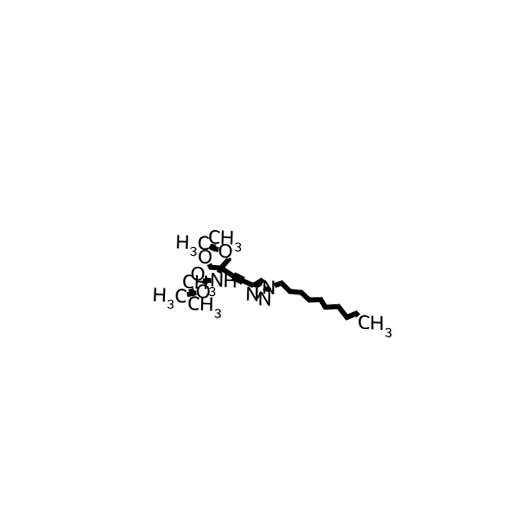 CCCCCCCCCCn1cc(C#CC2(NC(=O)OC(C)(C)C)COC(C)(C)OC2)nn1